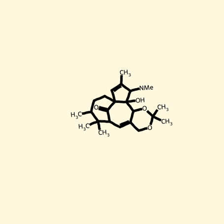 CNC1C(C)=CC23CCC(C)C(C)(C)C(C=C4COC(C)(C)OC4C12O)C3=O